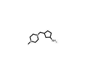 CN1CCN(CC2CCC(N)C2)CC1